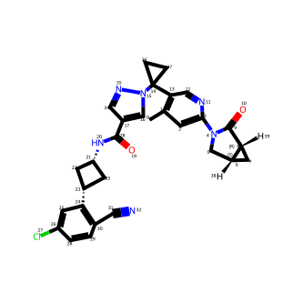 Cc1cc(N2C[C@H]3C[C@H]3C2=O)ncc1C1(n2cc(C(=O)N[C@H]3C[C@@H](c4cc(Cl)ccc4C#N)C3)cn2)CC1